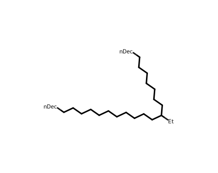 [CH2]CC(CCCCCCCCCCCCCCCCC)CCCCCCCCCCCCCCCCCCCCC